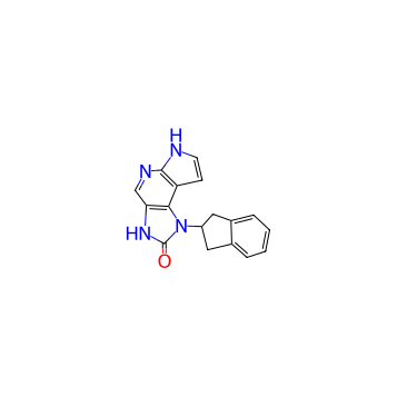 O=c1[nH]c2cnc3[nH]ccc3c2n1C1Cc2ccccc2C1